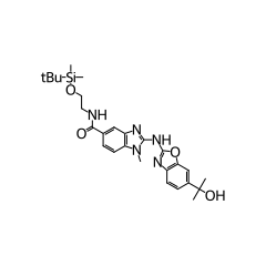 Cn1c(Nc2nc3ccc(C(C)(C)O)cc3o2)nc2cc(C(=O)NCCO[Si](C)(C)C(C)(C)C)ccc21